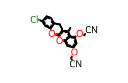 Cc1c(Cc2ccc(Cl)cc2)c(=O)oc2cc(OCC#N)cc(OCC#N)c12